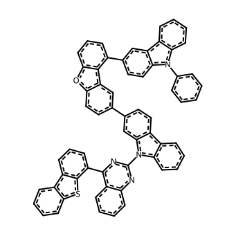 c1ccc(-n2c3ccccc3c3cc(-c4cccc5oc6ccc(-c7ccc8c9ccccc9n(-c9nc(-c%10cccc%11c%10sc%10ccccc%10%11)c%10ccccc%10n9)c8c7)cc6c45)ccc32)cc1